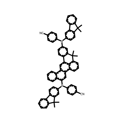 CC1(C)c2ccccc2-c2cc(N(c3ccc(C#N)cc3)c3ccc4c(c3)C(C)(C)c3cccc5c3c-4cc3c4ccccc4c(N(c4ccc(C#N)cc4)c4ccc6c(c4)C(C)(C)c4ccccc4-6)cc53)ccc21